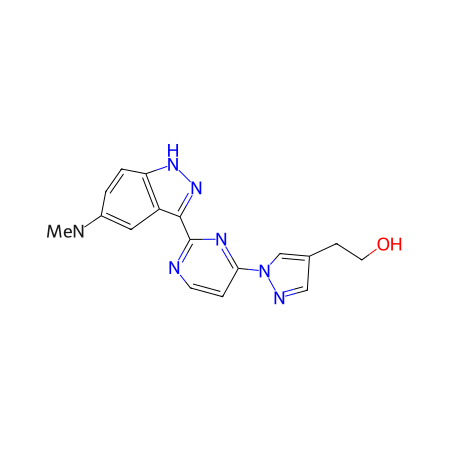 CNc1ccc2[nH]nc(-c3nccc(-n4cc(CCO)cn4)n3)c2c1